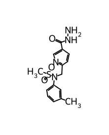 Cc1cccc(N(Cc2ccc(C(=O)NN)cn2)S(C)(=O)=O)c1